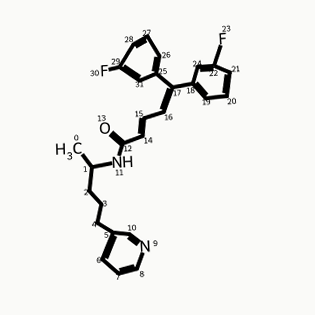 CC(CCCc1cccnc1)NC(=O)/C=C/C=C(c1cccc(F)c1)c1cccc(F)c1